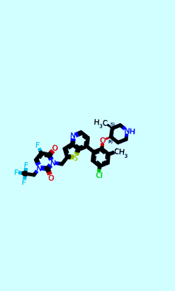 Cc1cc(Cl)cc(-c2ccnc3cc(Cn4c(=O)c(F)cn(CC(F)(F)F)c4=O)sc23)c1O[C@@H]1CCNC[C@@H]1C